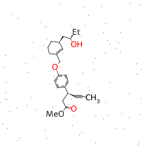 CC#C[C@@H](CC(=O)OC)c1ccc(OCC2=C[C@H](C[C@H](O)CC)CCC2)cc1